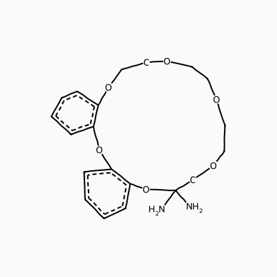 NC1(N)COCCOCCOCCOc2ccccc2Oc2ccccc2O1